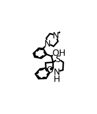 CN1CCN(c2ccccc2C(O)C2(Cc3ccccc3)SCCNC2=O)CC1